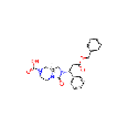 O=C(CC(c1ccccc1)N1C[C@@H]2CN(C(=O)O)CCN2C1=O)OCc1ccccc1